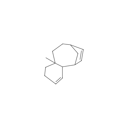 CC12CCC=CC1C1C=CC(CC2)C1